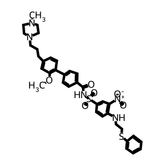 COc1cc(CCCN2CCN(C)CC2)ccc1-c1ccc(C(=O)NS(=O)(=O)c2ccc(NCCSc3ccccc3)c([N+](=O)[O-])c2)cc1